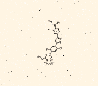 C=CCN(c1ccc(-c2nnc(-c3cc(F)c(OC[C@H]4[C@@H](C)OC(C)(C)N4C(=O)OC(C)(C)C)cc3Cl)s2)cn1)C(C)C